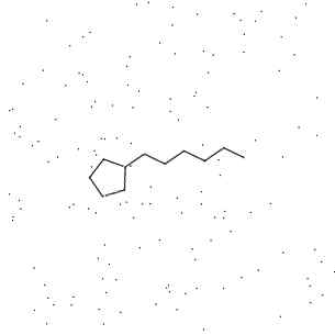 CCCCCC[C]1CCCC1